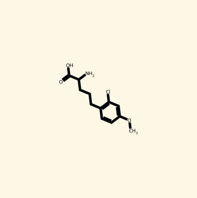 COc1ccc(CCCC(N)C(=O)O)c(Cl)c1